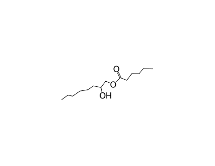 CCCCCCC(O)COC(=O)CCCCC